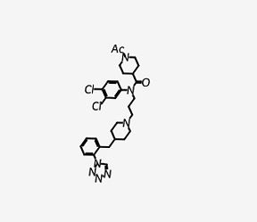 CC(=O)N1CCC(C(=O)N(CCCN2CCC(Cc3ccccc3-n3cnnn3)CC2)c2ccc(Cl)c(Cl)c2)CC1